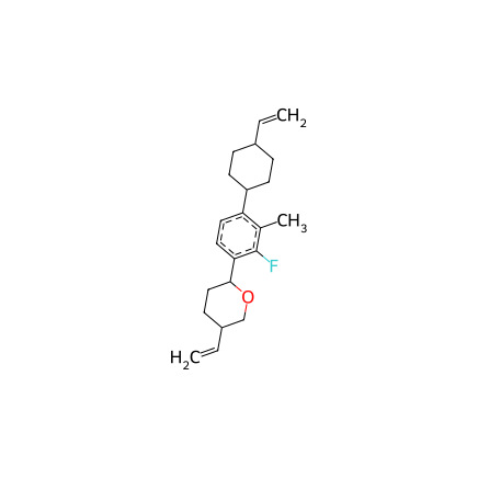 C=CC1CCC(c2ccc(C3CCC(C=C)CO3)c(F)c2C)CC1